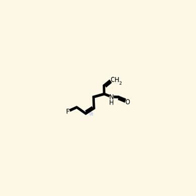 C=CC(C/C=C\CF)NC=O